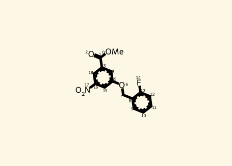 COC(=O)c1cc(OCc2ccccc2F)cc([N+](=O)[O-])c1